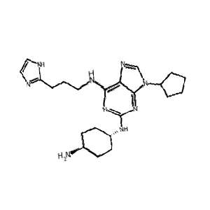 N[C@H]1CC[C@H](Nc2nc(NCCCc3ncc[nH]3)c3ncn(C4CCCC4)c3n2)CC1